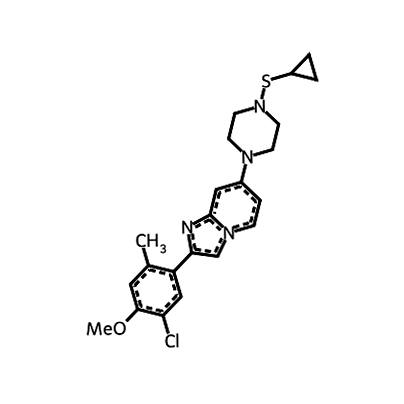 COc1cc(C)c(-c2cn3ccc(N4CCN(SC5CC5)CC4)cc3n2)cc1Cl